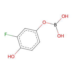 OB(O)Oc1ccc(O)c(F)c1